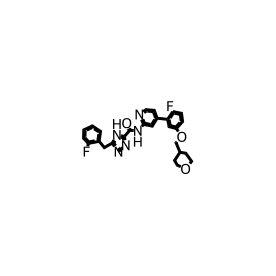 O=C(Nc1cc(-c2cc(OCC3CCOCC3)ccc2F)ccn1)c1nnc(Cc2ccccc2F)[nH]1